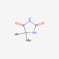 CCCCC1(CCC)NC(=O)NC1=O